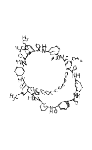 COc1c2cc(C)cc1C(=O)NC1CCCC(C1)NC(=O)c1cc(C)cc3c1OCCOCCOCCOc1c(cc(C)cc1C(=O)NC1CCCC(C1)NC2=O)C(=O)NC1CCCC(C1)NC(=O)c1cccc(c1)C(=O)NC1CCCC(C1)NC3=O